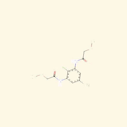 CCOCC(=O)Nc1cc(C#N)cc(NC(=O)COCC)c1Cl